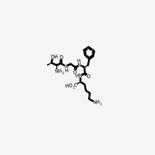 C[C@@H](O)[C@H](N)C(=O)NCC(=O)N[C@@H](Cc1ccccc1)C(=O)N[C@@H](CCCCN)C(=O)O